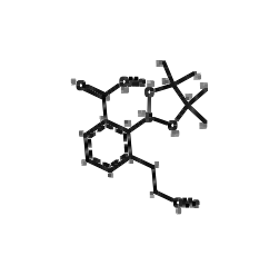 COCCc1cccc(C(=O)OC)c1B1OC(C)(C)C(C)(C)O1